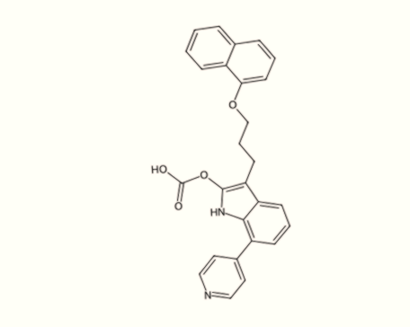 O=C(O)Oc1[nH]c2c(-c3ccncc3)cccc2c1CCCOc1cccc2ccccc12